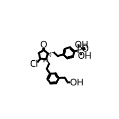 O=C1CC(Cl)[C@H](CCc2cccc(CCO)c2)[C@H]1CCc1ccc(P(=O)(O)O)cc1